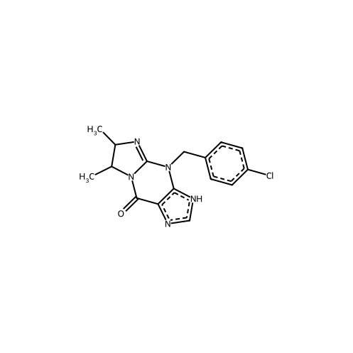 CC1N=C2N(Cc3ccc(Cl)cc3)c3[nH]cnc3C(=O)N2C1C